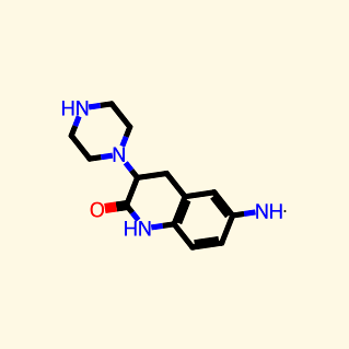 [NH]c1ccc2c(c1)CC(N1CCNCC1)C(=O)N2